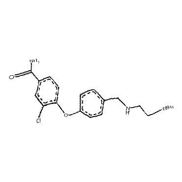 CC(C)(C)CCNCc1ccc(Oc2ccc(C(N)=O)cc2Cl)cc1